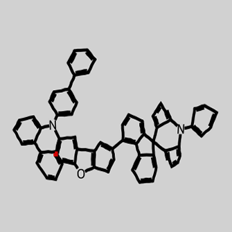 c1ccc(-c2ccc(N(c3ccc4oc5ccc(-c6cccc7c6-c6ccccc6C76c7ccccc7N(c7ccccc7)c7ccccc76)cc5c4c3)c3ccccc3-c3ccccc3)cc2)cc1